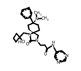 CN(C)[C@]1(c2ccccc2)CC[C@@]2(CC1)CN(CCC(=O)Nc1cncnc1)C(=O)N2CC1(O)CCC1